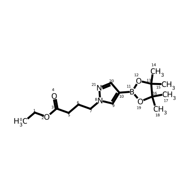 CCOC(=O)CCCn1cc(B2OC(C)(C)C(C)(C)O2)cn1